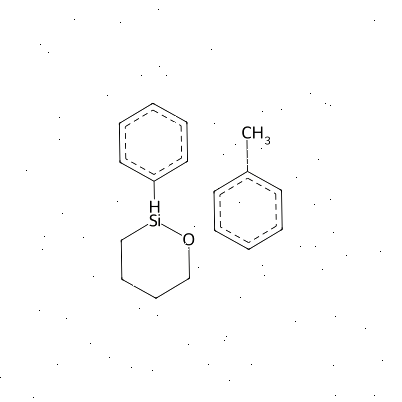 Cc1ccccc1.c1ccc([SiH]2CCCCO2)cc1